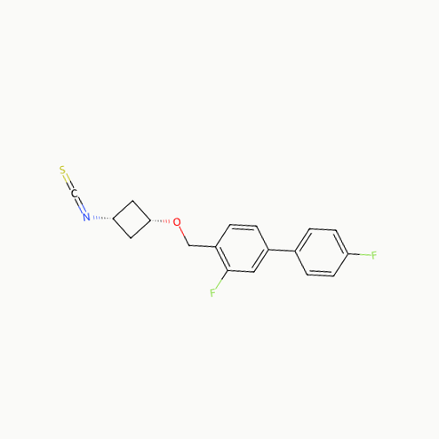 Fc1ccc(-c2ccc(CO[C@H]3C[C@@H](N=C=S)C3)c(F)c2)cc1